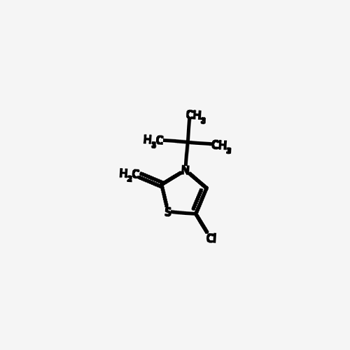 C=C1SC(Cl)=CN1C(C)(C)C